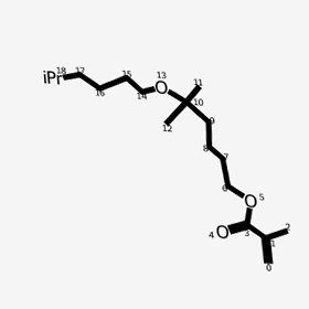 C=C(C)C(=O)OCCCCC(C)(C)OCCCCC(C)C